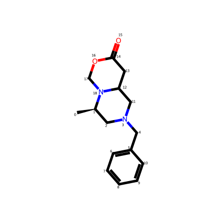 C[C@@H]1CN(Cc2ccccc2)CC2CC(=O)OCN21